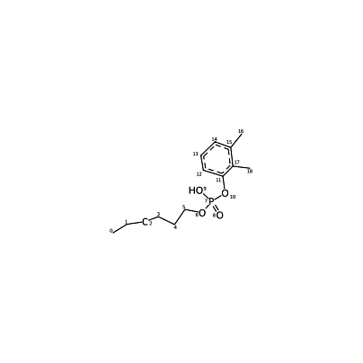 CCCCCCOP(=O)(O)Oc1cccc(C)c1C